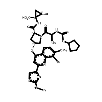 COc1ccc2c(O[C@@H]3C[C@@H](C(=O)N[C@]4(C(=O)O)C[C@H]4C)N(C(=O)C(NC(=O)OC4CCCC4)C(C)(C)C)C3)cc(-c3csc(NC(C)C)n3)nc2c1Br